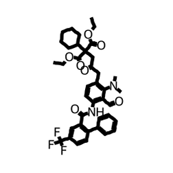 CCOC(=O)C(CC(=O)Cc1ccc(NC(=O)c2cc(C(F)(F)F)ccc2-c2ccccc2)c(C=O)c1N(C)C)(C(=O)OCC)C1CCCCC1